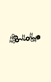 O=c1ccc2c(CCNCc3ccc(NC(O)CC[N+]45CCC(CC4)CC5)cc3)ccc(O)c2[nH]1